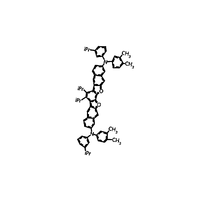 Cc1ccc(N(c2cccc(C(C)C)c2)c2ccc3cc4c(cc3c2)oc2c3oc5cc6cc(N(c7cccc(C(C)C)c7)c7ccc(C)c(C)c7)ccc6cc5c3c(C(C)C)c(C(C)C)c42)cc1C